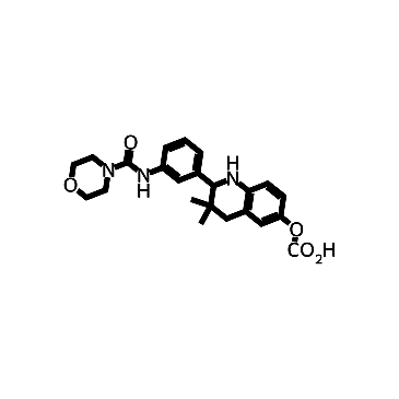 CC1(C)Cc2cc(OC(=O)O)ccc2NC1c1cccc(NC(=O)N2CCOCC2)c1